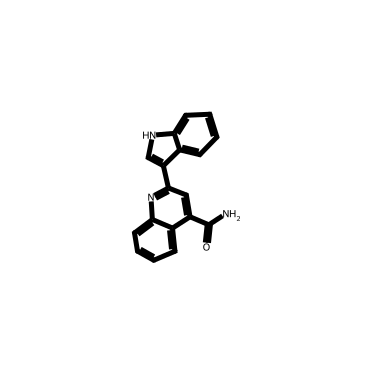 NC(=O)c1cc(-c2c[nH]c3ccccc23)nc2ccccc12